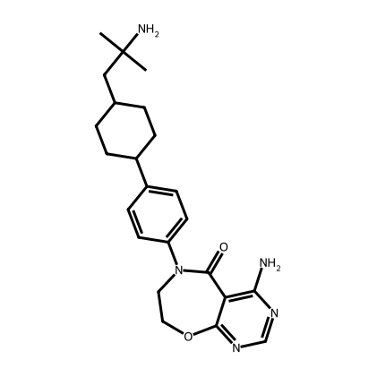 CC(C)(N)CC1CCC(c2ccc(N3CCOc4ncnc(N)c4C3=O)cc2)CC1